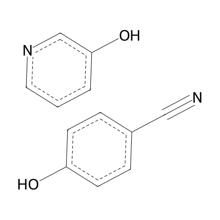 N#Cc1ccc(O)cc1.Oc1cccnc1